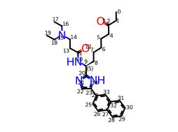 CCC(=O)CCCCC[C@H](NC(=O)CCN(CC)CC)c1ncc(-c2ccc3ccccc3c2)[nH]1